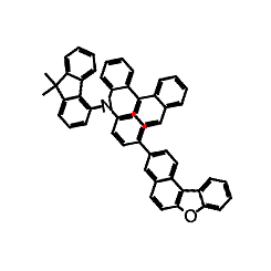 CC1(C)c2ccccc2-c2c(N(c3ccc(-c4ccc5c(ccc6oc7ccccc7c65)c4)cc3)c3ccccc3-c3cccc4ccccc34)cccc21